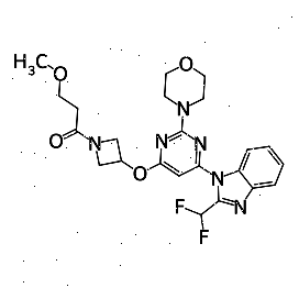 COCCC(=O)N1CC(Oc2cc(-n3c(C(F)F)nc4ccccc43)nc(N3CCOCC3)n2)C1